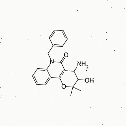 CC1(C)Oc2c(c(=O)n(Cc3ccccc3)c3ccccc23)C(N)C1O